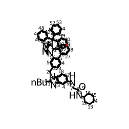 CCCCc1nc2cc(NCC(=O)NC3CCCCC3)ccc2n1Cc1ccc(-c2ccccc2-c2nnnn2C(c2ccccc2)(c2ccccc2)c2ccccc2)cc1